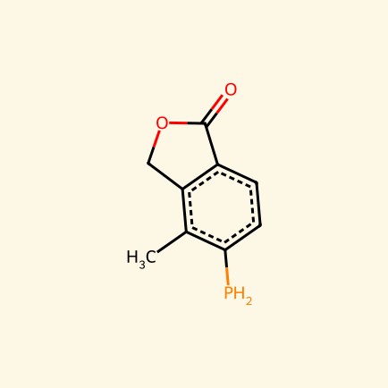 Cc1c(P)ccc2c1COC2=O